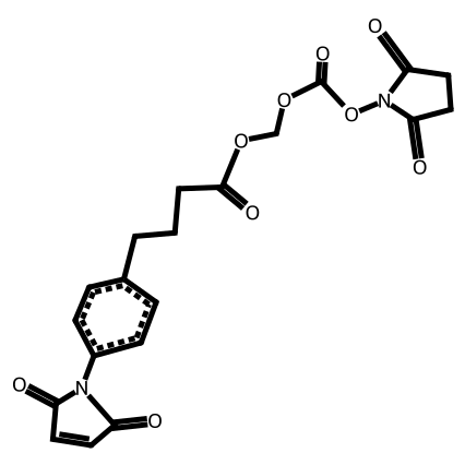 O=C(CCCc1ccc(N2C(=O)C=CC2=O)cc1)OCOC(=O)ON1C(=O)CCC1=O